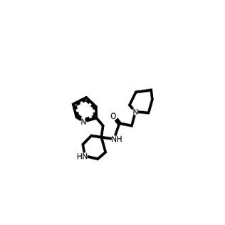 O=C(CN1CCCCC1)NC1(Cc2ccccn2)CCNCC1